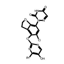 CC(C)c1nc(Oc2c(Cl)cc(-n3ncc(=O)[nH]c3=O)c3c2CCO3)ncc1O